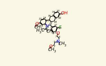 COCCN(C)CCOc1ccc(CN(C(C)C)C2C=C(OC)C=CC2[C@@H]2CCc3cc(O)ccc3C2)cc1F